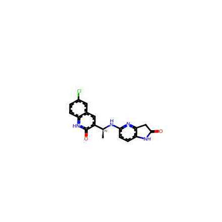 C[C@H](Nc1ccc2c(n1)CC(=O)N2)c1cc2cc(Cl)ccc2[nH]c1=O